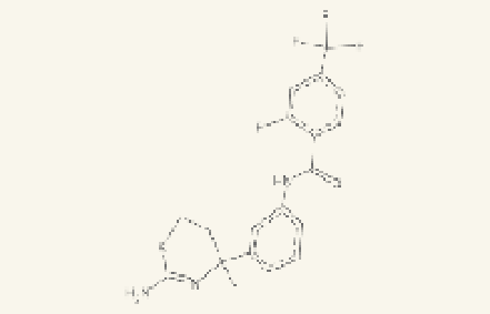 CC1(c2cccc(NC(=O)c3ccc(C(F)(F)F)cc3F)c2)CCSC(N)=N1